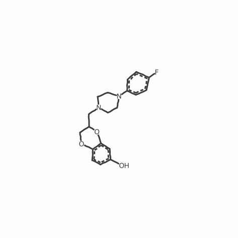 Oc1ccc2c(c1)OC(CN1CCN(c3ccc(F)cc3)CC1)CO2